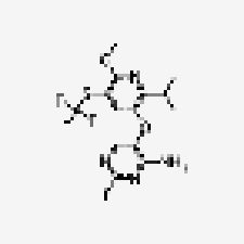 COc1nc(C(C)C)c(Oc2cnc(I)nc2N)cc1SC(F)(F)F